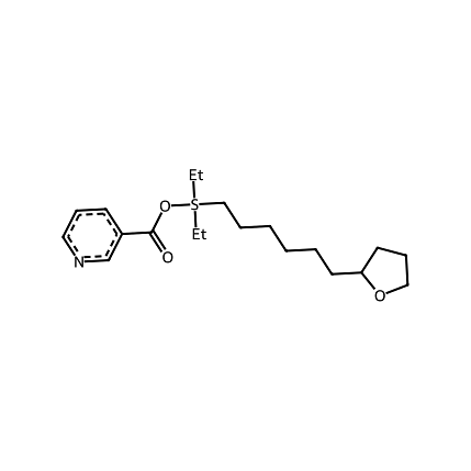 CCS(CC)(CCCCCCC1CCCO1)OC(=O)c1cccnc1